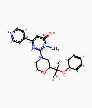 Cn1c(N2CCOC(C(C)(C)OC3C=CC=CC3)C2)nc(-c2ccncc2)cc1=O